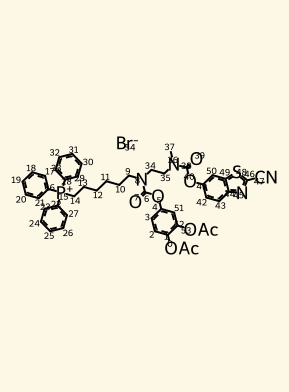 CC(=O)Oc1ccc(OC(=O)N(CCCCCC[P+](c2ccccc2)(c2ccccc2)c2ccccc2)CCN(C)C(=O)Oc2ccc3nc(C#N)sc3c2)cc1OC(C)=O.[Br-]